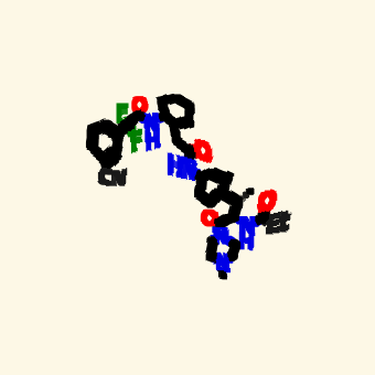 CCC(=O)N[C@@H](C(=O)N1CCN(C)CC1)[C@@H](C)c1ccc(NC(=O)CC2CCCCC2NC(=O)C(F)(F)c2cccc(C#N)c2)cc1